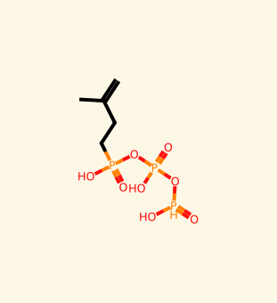 C=C(C)CCP(=O)(O)OP(=O)(O)O[PH](=O)O